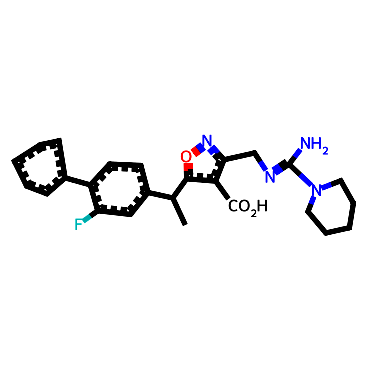 CC(c1ccc(-c2ccccc2)c(F)c1)c1onc(C/N=C(\N)N2CCCCC2)c1C(=O)O